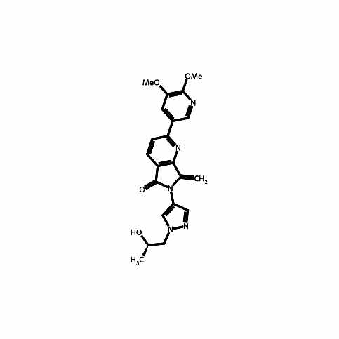 C=C1c2nc(-c3cnc(OC)c(OC)c3)ccc2C(=O)N1c1cnn(C[C@@H](C)O)c1